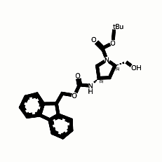 CC(C)(C)OC(=O)N1C[C@@H](NC(=O)OCC2c3ccccc3-c3ccccc32)C[C@H]1CO